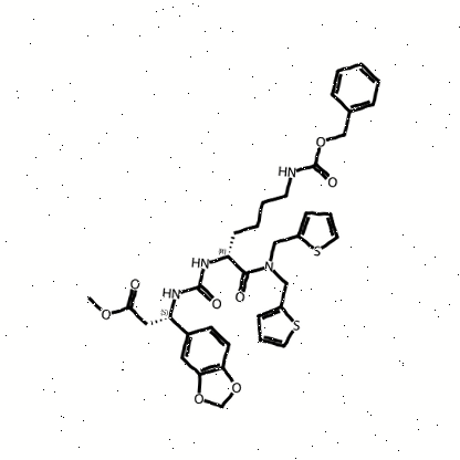 COC(=O)C[C@H](NC(=O)N[C@H](CCCCNC(=O)OCc1ccccc1)C(=O)N(Cc1cccs1)Cc1cccs1)c1ccc2c(c1)OCO2